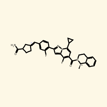 C[C@@H]1c2ccccc2CCN1C(=O)c1cc(C2CC2)n2nc(-c3ccc(/C=C4\CCC(C(N)=O)C4)cc3F)cc2c1F